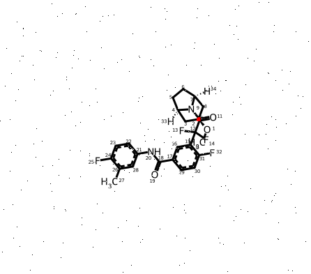 CO[C@H]1C[C@H]2CC[C@@H](C1)N2C(=O)C(F)(F)c1cc(C(=O)Nc2ccc(F)c(C)c2)ccc1F